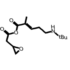 CC(=CCCNC(C)(C)C)C(=O)OC(=O)CC1CO1